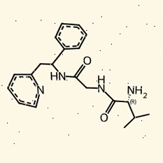 CC(C)[C@@H](N)C(=O)NCC(=O)NC(Cc1ccccn1)c1ccccc1